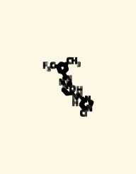 Cc1cc(-c2ncn(/C=C\C(=O)NNc3cc(Cl)ncn3)n2)cc(C(F)(F)F)c1